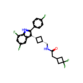 O=C(CC1CC(F)(F)C1)NC[C@H]1C[C@@H](c2c(-c3ccc(F)cc3)[nH]c3c(F)cc(F)cc32)C1